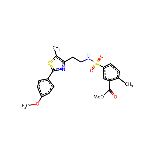 COC(=O)c1cc(S(=O)(=O)NCCc2nc(-c3ccc(OC(F)(F)F)cc3)sc2C)ccc1C